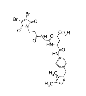 Cc1ccc(Cc2ccc(NC(=O)[C@H](CCC(=O)O)NC(=O)CNC(=O)CCN3C(=O)C(Br)=C(Br)C3=O)cc2)n1C